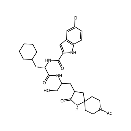 CC(=O)N1CCC2(CC1)CC(CC(CO)NC(=O)[C@H](CC1CCCCC1)NC(=O)c1cc3cc(Cl)ccc3[nH]1)C(=O)N2